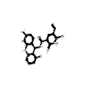 C=Cc1cc(C(=O)NC2c3ccc(Cl)cc3Oc3cccc(Cl)c32)c(=O)[nH]c1C(F)(F)F